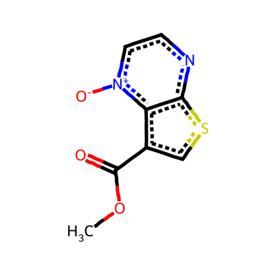 COC(=O)c1csc2ncc[n+]([O-])c12